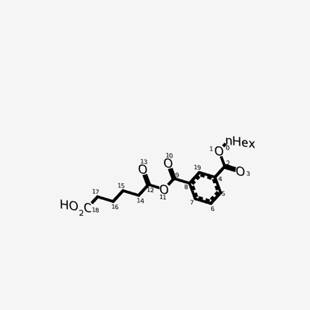 CCCCCCOC(=O)c1cccc(C(=O)OC(=O)CCCCC(=O)O)c1